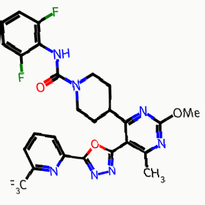 COc1nc(C)c(-c2nnc(-c3cccc(C(F)(F)F)n3)o2)c(C2CCN(C(=O)Nc3c(F)cccc3F)CC2)n1